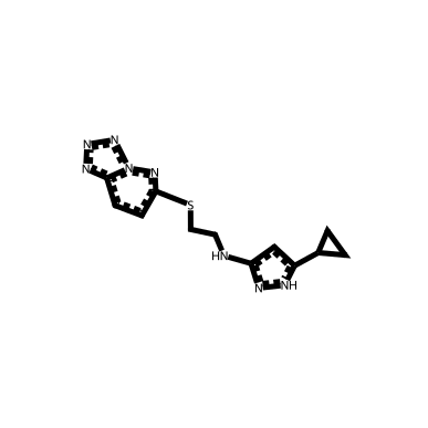 c1cc2nnnn2nc1SCCNc1cc(C2CC2)[nH]n1